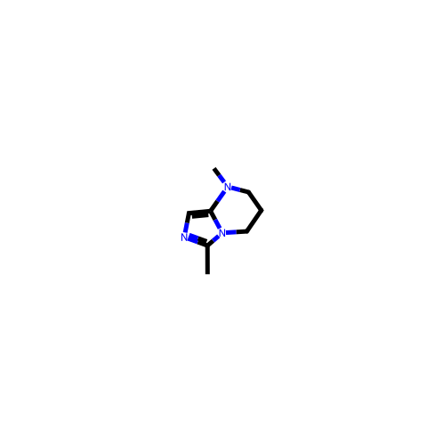 Cc1ncc2n1CCCN2C